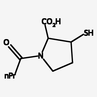 CCCC(=O)N1CCC(S)C1C(=O)O